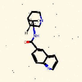 O=C(N[C@@H]1CC2CCN(CC2)C1)c1ccc2ncccc2c1